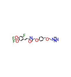 Fc1cc2c(cc1/C=C/c1nc(COc3ccc(COCCn4ccnn4)cc3)co1)OC(F)(F)O2